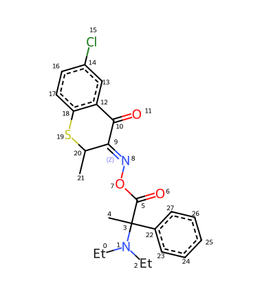 CCN(CC)C(C)(C(=O)O/N=C1/C(=O)c2cc(Cl)ccc2SC1C)c1ccccc1